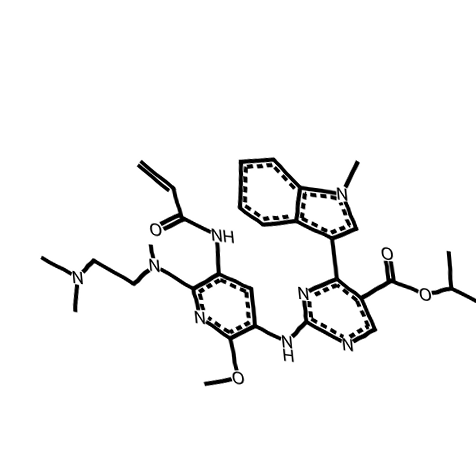 C=CC(=O)Nc1cc(Nc2ncc(C(=O)OC(C)C)c(-c3cn(C)c4ccccc34)n2)c(OC)nc1N(C)CCN(C)C